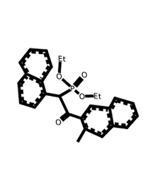 CCOP(=O)(OCC)C(C(=O)c1cc2ccccc2cc1C)c1cccc2ccccc12